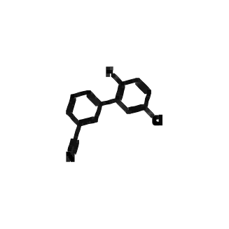 N#Cc1cccc(-c2cc(Cl)ccc2F)c1